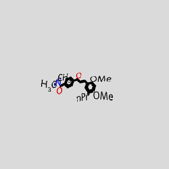 CCCc1cc(/C=C/C(=O)c2ccc(C(=O)N(C)C)cc2)c(OC)cc1OC